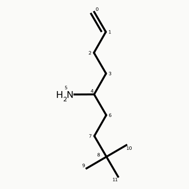 C=CCCC(N)CCC(C)(C)C